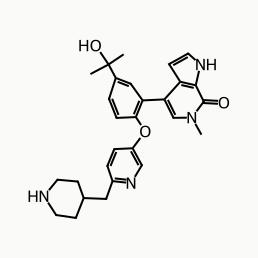 Cn1cc(-c2cc(C(C)(C)O)ccc2Oc2ccc(CC3CCNCC3)nc2)c2cc[nH]c2c1=O